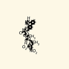 CCCCc1nc(Cl)c(C(=O)OC(C)OC(=O)OCCC(C)(C)CC(CO[N+](=O)[O-])O[N+](=O)[O-])n1Cc1ccc(-c2ccccc2-c2nnn[nH]2)cc1